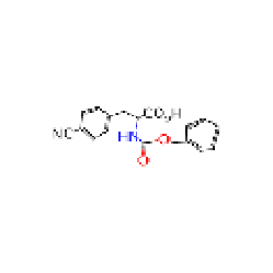 N#Cc1ccc(CC(NC(=O)OCc2ccccc2)C(=O)O)cc1